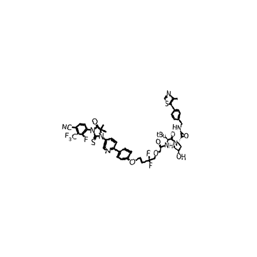 Cc1ncsc1-c1ccc(CNC2OC2[C@@H]2C[C@@H](O)CN2C(=O)[C@@H](NC(=O)COCC(F)(F)CCOc2ccc(-c3ccc(N4C(=S)N(c5ccc(C#N)c(C(F)(F)F)c5F)C(=O)C4(C)C)cn3)cc2)C(C)(C)C)cc1